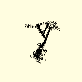 CCCCCCCCC(CCCCCC)C(=O)OCCCCCCN(CCCCCCOC(=O)C(CCCCCC)CCCCCCCC)CCCN(CCCCCCOC(=O)C(CCCCCC)CCCCCCCC)CCCCCC(=O)OC[C@@H]1O[C@H](n2c(=O)[nH]c3c(=O)[nH]c(N)nc32)C(O)C1O